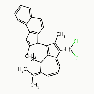 CC1=Cc2c(ccc3ccccc23)C1C1=C2C(=CC=CC(=[Si](C)C)C2C)[C]([Hf]([Cl])[Cl])=C1C